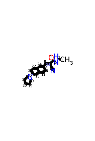 CCNC(=O)/C(C#N)=C/c1ccc2cc(N3CCCCC3)ccc2c1